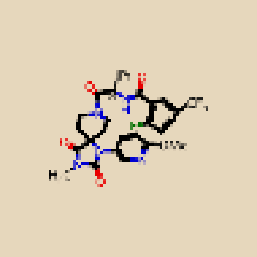 COc1ccc(N2C(=O)N(C)C(=O)C23CCN(C(=O)[C@H](NC(=O)c2cc(C(F)(F)F)ccc2F)C(C)C)CC3)cn1